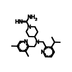 Cc1cnc(CN(Cc2ncccc2C(C)C)C2CCN(C(=N)N)CC2)c(C)c1